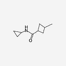 CC1CC(C(=O)NC2CC2)C1